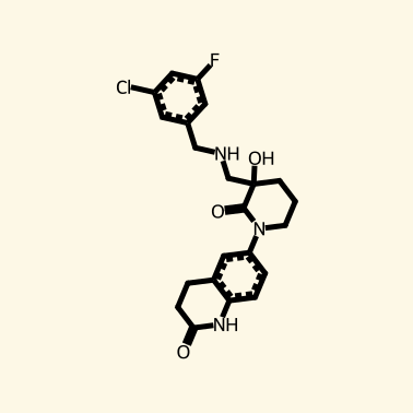 O=C1CCc2cc(N3CCCC(O)(CNCc4cc(F)cc(Cl)c4)C3=O)ccc2N1